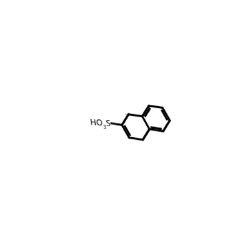 O=S(=O)(O)C1=CCc2ccccc2[CH]1